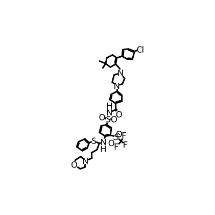 CC1(C)CCC(c2ccc(Cl)cc2)=C(CN2CCN(c3ccc(C(=O)NS(=O)(=O)c4ccc(NC(CCCN5CCOCC5)Sc5ccccc5)c(S(=O)(=O)C(F)(F)F)c4)cc3)CC2)C1